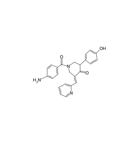 Nc1ccc(C(=O)N2CC(=Cc3ccccn3)C(=O)C(c3ccc(O)cc3)C2)cc1